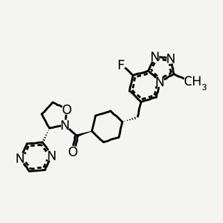 Cc1nnc2c(F)cc(C[C@H]3CC[C@H](C(=O)N4OCC[C@H]4c4cnccn4)CC3)cn12